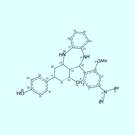 COc1cc(N(C(C)C)C(C)C)ccc1C1Nc2ccccc2NC2CC(c3ccc(O)cc3)CC(C)C21